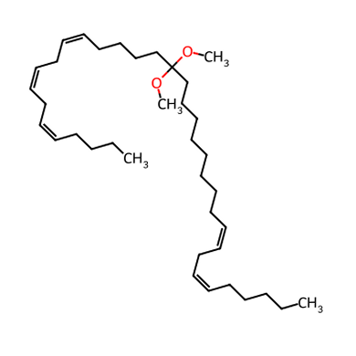 CCCC/C=C\C/C=C\C/C=C\CCCCC(CCCCCCCC/C=C\C/C=C\CCCCC)(OC)OC